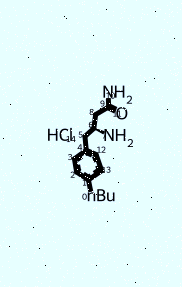 CCCCc1ccc(C[C@H](N)CC(N)=O)cc1.Cl